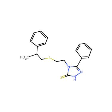 O=C(O)C(CSCCn1c(-c2ccccc2)n[nH]c1=S)c1ccccc1